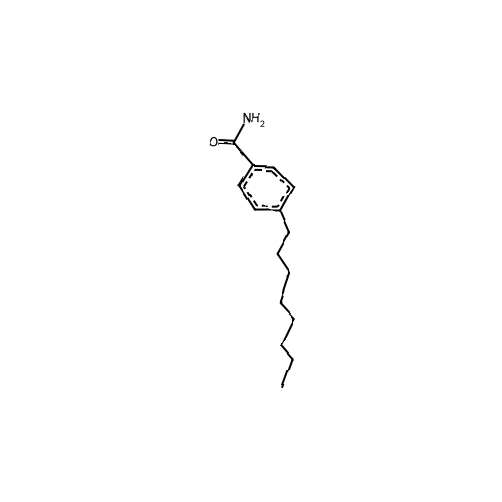 CCCCCCCCc1ccc(C(N)=O)cc1